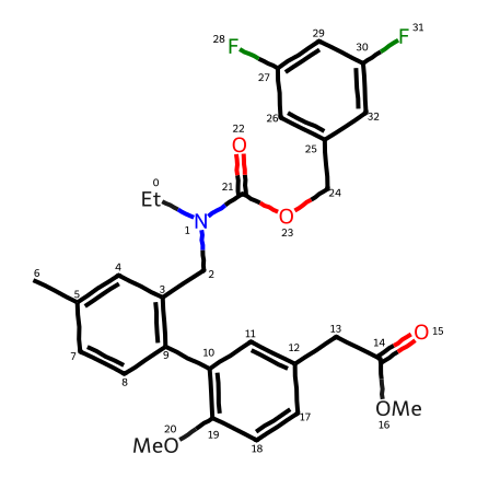 CCN(Cc1cc(C)ccc1-c1cc(CC(=O)OC)ccc1OC)C(=O)OCc1cc(F)cc(F)c1